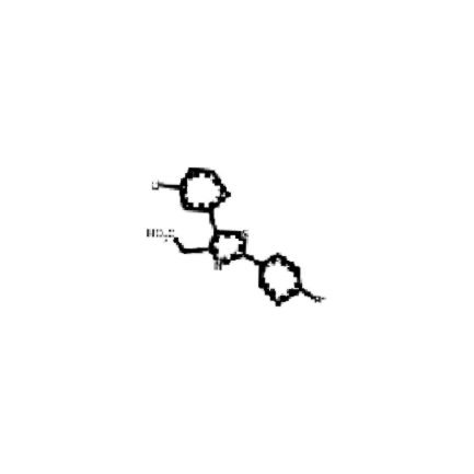 O=C(O)Cc1nc(-c2ccc(Br)cc2)sc1-c1cccc(Cl)c1